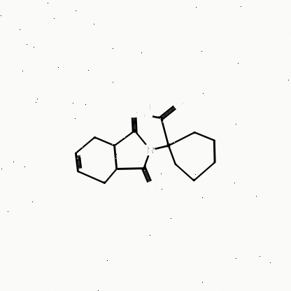 O=C1C2CC=CCC2C(=O)N1C1(C(=O)O)CCCCC1